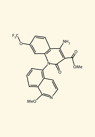 COC(=O)c1c(N)c2ccc(OC(F)(F)F)cc2n(-c2cccc3c(OC)nccc23)c1=O